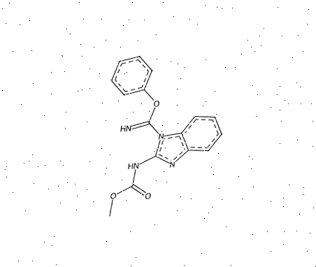 COC(=O)Nc1nc2ccccc2n1C(=N)Oc1ccccc1